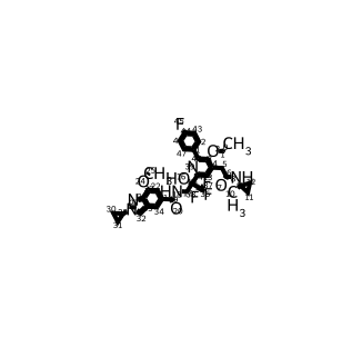 CCOc1c(CC(=O)NC2(C)CC2)cc([C@@](O)(CNC(=O)c2cc(OC)c3nn(C4CC4)cc3c2)C(F)(F)F)nc1-c1ccc(F)cc1